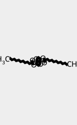 CCCCCCCCCCCC(=O)O[C@H]1CO[C@H]2[C@@H]1OC[C@H]2OC(=O)CCCCCCCCCCC